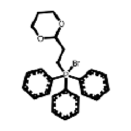 BrP(CCC1OCCCO1)(c1ccccc1)(c1ccccc1)c1ccccc1